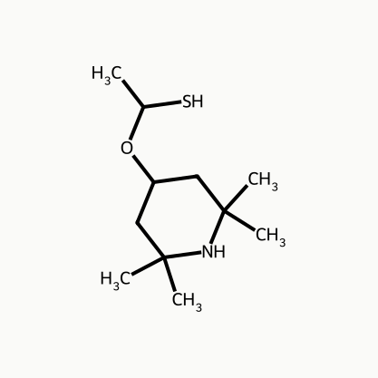 CC(S)OC1CC(C)(C)NC(C)(C)C1